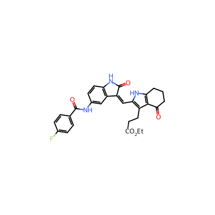 CCOC(=O)CCc1c(C=C2C(=O)Nc3ccc(NC(=O)c4ccc(F)cc4)cc32)[nH]c2c1C(=O)CCC2